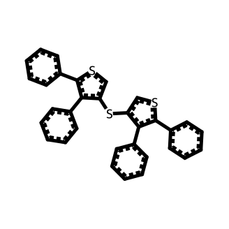 c1ccc(-c2scc(Sc3csc(-c4ccccc4)c3-c3ccccc3)c2-c2ccccc2)cc1